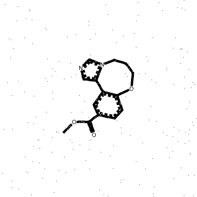 COC(=O)c1ccc2c(c1)-c1cncn1CCCO2